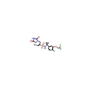 CC/C=C(\CN1CC(=O)NC1=O)S(=O)(=O)NC1(c2ccc(F)c(OCC(F)F)c2)CC1